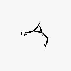 [2H]C[C@@H]1OC1C